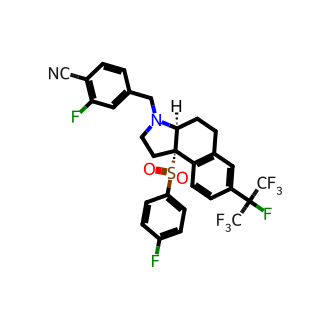 N#Cc1ccc(CN2CC[C@]3(S(=O)(=O)c4ccc(F)cc4)c4ccc(C(F)(C(F)(F)F)C(F)(F)F)cc4CC[C@H]23)cc1F